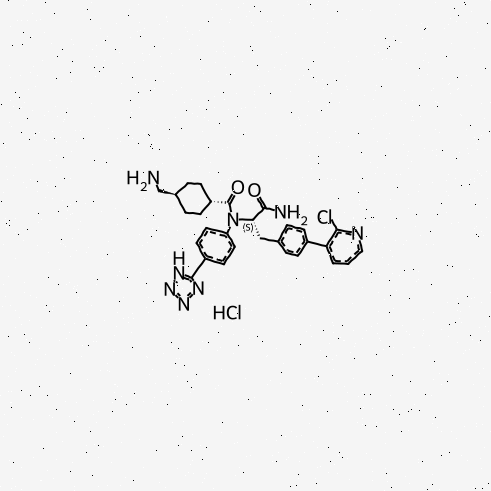 Cl.NC[C@H]1CC[C@H](C(=O)N(c2ccc(-c3nnn[nH]3)cc2)[C@@H](Cc2ccc(-c3cccnc3Cl)cc2)C(N)=O)CC1